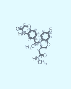 CNC(=O)C[C@@H]1COc2cc(F)ccc2N1C(C)c1ccc2c(c1)NC(=O)CO2